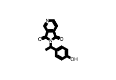 CC(c1ccc(O)cc1)N1C(=O)c2ccncc2C1=O